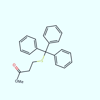 COC(=O)CCSC(c1ccccc1)(c1ccccc1)c1ccccc1